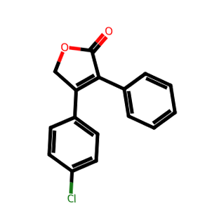 O=C1OCC(c2ccc(Cl)cc2)=C1c1ccccc1